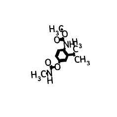 CNC(=O)Oc1ccc(NC(=O)OC)c(C(C)C)c1